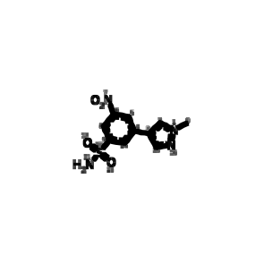 Cn1cc(-c2cc([N+](=O)[O-])cc(S(N)(=O)=O)c2)cn1